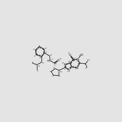 CCn1c(C(F)F)nc2sc(N3CCC[C@@H]3C(=O)NCc3ccccc3CN(C)C)nc2c1=O